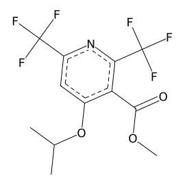 COC(=O)c1c(OC(C)C)cc(C(F)(F)F)nc1C(F)(F)F